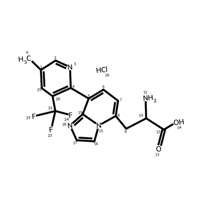 Cc1cnc(-c2ccc(CC(N)C(=O)O)n3ccnc23)c(C(F)(F)F)c1.Cl